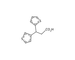 O=C(O)CC(c1ccsc1)c1cccs1